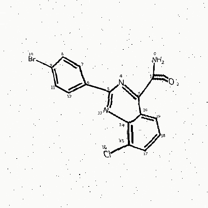 NC(=O)c1nc(-c2ccc(Br)cc2)nc2c(Cl)cccc12